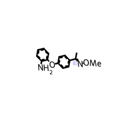 CO/N=C(\C)c1ccc(Oc2ccccc2N)cc1